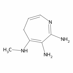 CNC1=C(N)C(N)=NC=CC1